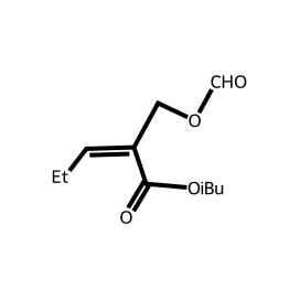 CCC=C(COC=O)C(=O)OCC(C)C